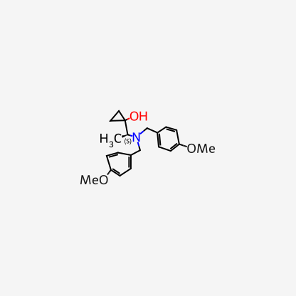 COc1ccc(CN(Cc2ccc(OC)cc2)[C@@H](C)C2(O)CC2)cc1